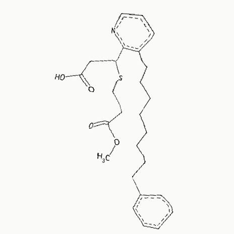 COC(=O)CCSC(CC(=O)O)c1ncccc1CCCCCCCCc1ccccc1